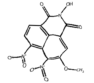 COc1cc2c3c(ccc([N+](=O)[O-])c3c1[N+](=O)[O-])C(=O)N(O)C2=O